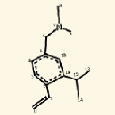 C=Cc1ccc(CN(C)C)cc1C(C)C